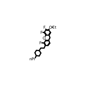 CCCC1CCC(CCc2ccc3c(c2F)Oc2c(cc(OCC)c(F)c2F)C3)CC1